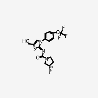 O=C(N=c1sc(CO)cn1-c1ccc(OC(F)(F)F)cc1)N1CC[C@@H](F)C1